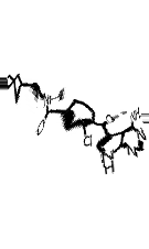 Nc1ncnc2[nH]cc(C(=O)c3ccc(C(=O)NC4CC5(COC5)C4)cc3Cl)c12